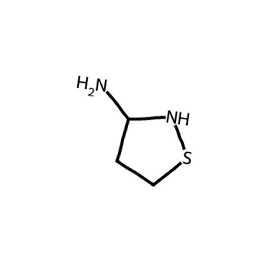 NC1CCSN1